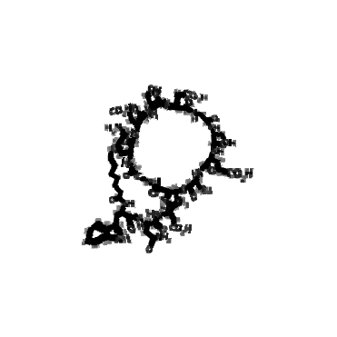 CCC(C)CCCCCCC(=O)NC(Cc1c[nH]c2ccccc12)C(=O)NC(CC(N)=O)C(=O)NC(CC(=O)O)C(=O)NC1C(=O)NCC(=O)NC(CCCN)C(=O)NC(CC(=O)O)C(=O)NC(CO)C(=O)NC(CC(=O)O)C(=O)NCC(=O)NC(CO)C(=O)NC(CCC(=O)O)C(=O)NC(C(C)CC)C(=O)OC1C